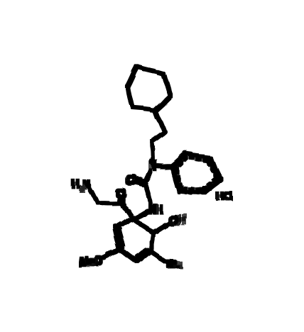 COC1=CC(NC(=O)N(CCC2CCCCC2)c2ccccc2)(C(=O)CN)C(O)C(C(C)(C)C)=C1.Cl